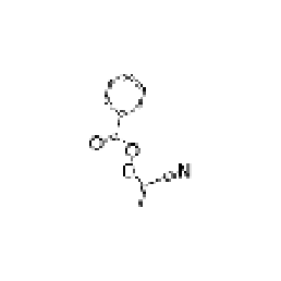 C=C(C#N)OOC(=O)c1ccccc1